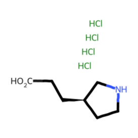 Cl.Cl.Cl.Cl.O=C(O)CC[C@@H]1CCNC1